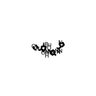 COc1c(CN2CCOCC2)cc(C(C)(C)C)cc1NC(=O)c1ccc(C)c(-n2cc(-c3cccnc3)nn2)c1